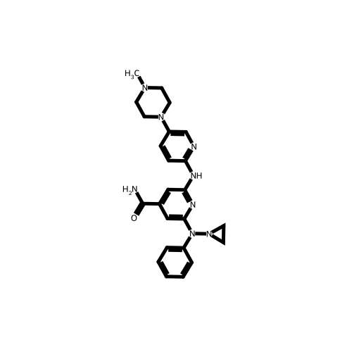 CN1CCN(c2ccc(Nc3cc(C(N)=O)cc(N(c4ccccc4)N4CC4)n3)nc2)CC1